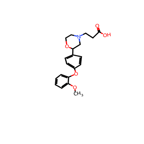 COc1ccccc1Oc1ccc(C2CN(CCC(=O)O)CCO2)cc1